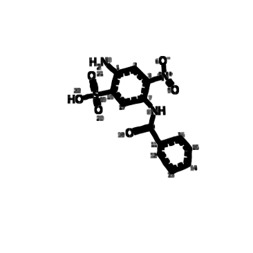 Nc1cc([N+](=O)[O-])c(NC(=O)c2ccccc2)cc1S(=O)(=O)O